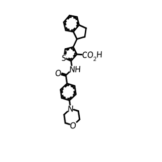 O=C(Nc1scc(C2CCc3ccccc32)c1C(=O)O)c1ccc(N2CCOCC2)cc1